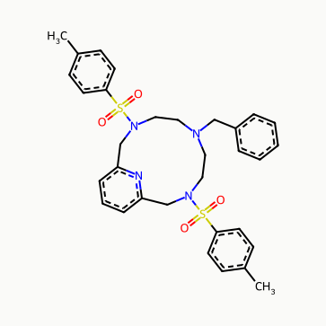 Cc1ccc(S(=O)(=O)N2CCN(Cc3ccccc3)CCN(S(=O)(=O)c3ccc(C)cc3)Cc3cccc(n3)C2)cc1